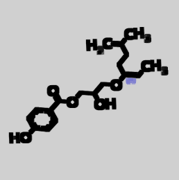 C=C(C)CC/C(=C\C)OCC(O)COC(=O)c1ccc(O)cc1